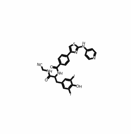 N#CCNC(=O)C(Cc1cc(I)c(O)c(I)c1)NC(=O)c1ccc(-c2csc(Nc3ccncc3)n2)cc1